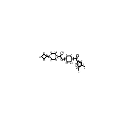 Cc1cc(C(=O)N2CCN(CC(=O)N3CCN(C4CCC4)CC3)CC2)oc1C